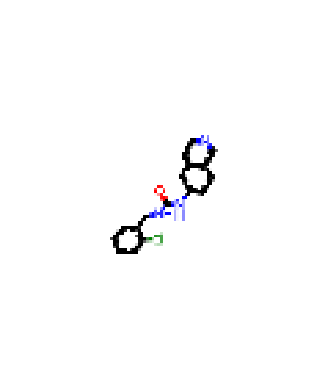 O=C(NCc1ccccc1Cl)Nc1ccc2cnccc2c1